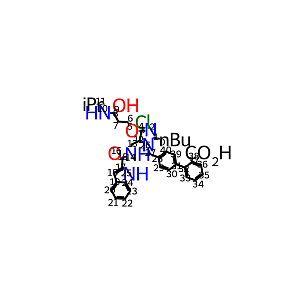 CCCCC1=NC(Cl)(OCCC(O)NC(C)C)C(CNC(=O)c2cc3ccccc3[nH]2)N1Cc1ccc(-c2ccccc2C(=O)O)cc1